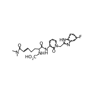 CN(C)C(=O)/C=C/CCC(NC(=O)O)C(=O)Nc1cccn(Cc2nc3cc(F)ccc3[nH]2)c1=O